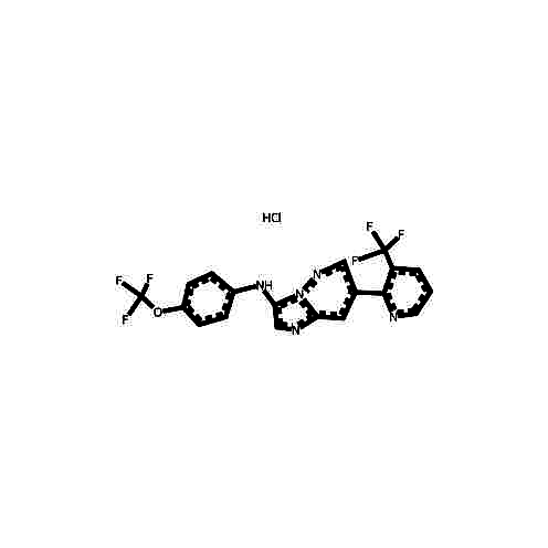 Cl.FC(F)(F)Oc1ccc(Nc2cnc3cc(-c4ncccc4C(F)(F)F)cnn23)cc1